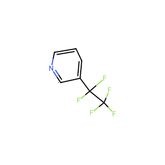 FC(F)(F)C(F)(F)c1[c]nccc1